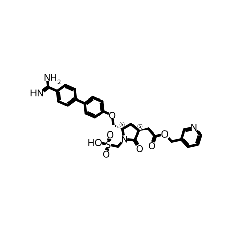 N=C(N)c1ccc(-c2ccc(OC[C@@H]3C[C@@H](CC(=O)OCc4cccnc4)C(=O)N3CS(=O)(=O)O)cc2)cc1